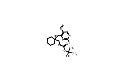 CC(C)(C)OC(=O)NCC1(Nc2nc(Cl)ncc2N=O)CCCCC1